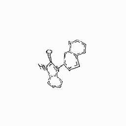 O=c1[nH]c2ccccc2n1-c1ccc2cccnc2c1